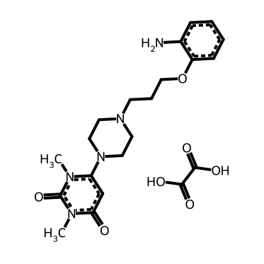 Cn1c(N2CCN(CCCOc3ccccc3N)CC2)cc(=O)n(C)c1=O.O=C(O)C(=O)O